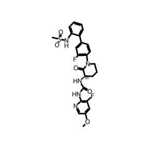 COc1cnc(NC(=O)N[C@@H]2CCCN(c3ccc(-c4ccccc4NS(C)(=O)=O)cc3F)C2=O)c(F)c1